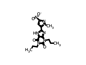 CCCn1c(=O)c2[nH]c(-c3cc([N+](=O)[O-])nn3C)nc2n(CCC)c1=O